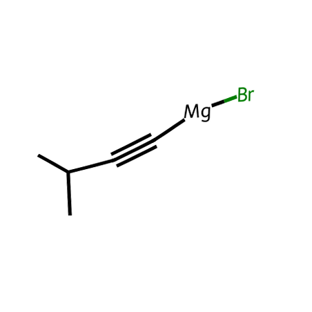 CC(C)C#[C][Mg][Br]